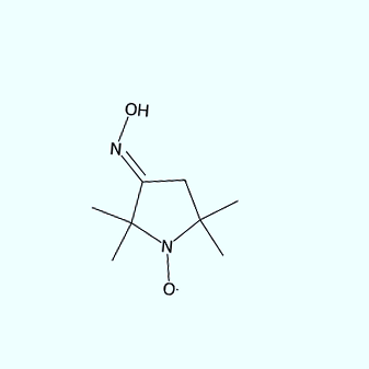 CC1(C)CC(=NO)C(C)(C)N1[O]